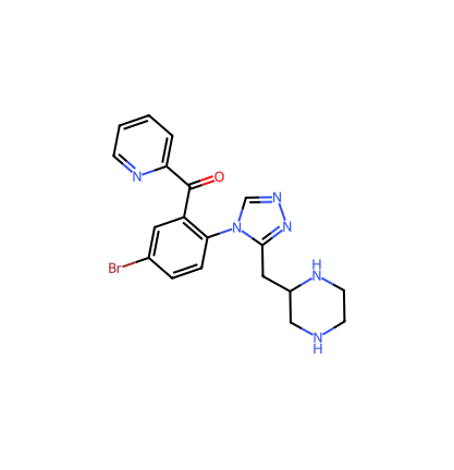 O=C(c1ccccn1)c1cc(Br)ccc1-n1cnnc1CC1CNCCN1